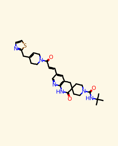 CC(C)(C)NC(=O)N1CCC2(CC1)Cc1cc(/C=C/C(=O)N3CC=C(Cc4nccs4)CC3)cnc1NC2=O